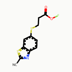 N#Cc1nc2ccc(SCCC(=O)OF)cc2s1